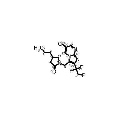 CCCC1CC(=O)N(Cc2c(C(F)(F)CF)nc3ncc(Cl)cn23)C1